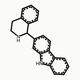 [c]1c(C2NCCc3ccccc32)ccc2c1[nH]c1ccccc12